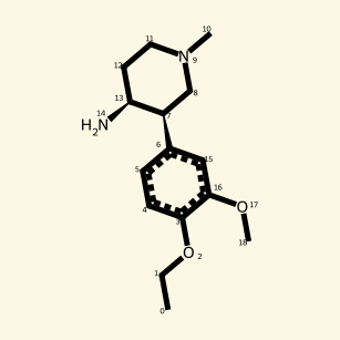 CCOc1ccc([C@@H]2CN(C)CC[C@@H]2N)cc1OC